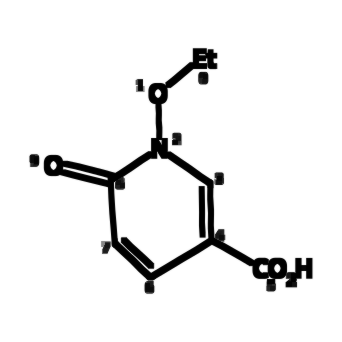 CCOn1cc(C(=O)O)ccc1=O